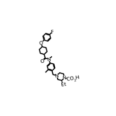 CC[C@H]1CN(Cc2ccc(N(C)C(=O)C3CCC(Oc4ccc(F)cc4)CC3)cc2C)CCN1C(=O)O